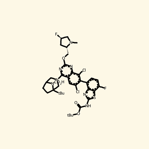 CN1C[C@H](F)C[C@H]1COc1nc(N2CC3CCC(C(C)(C)C)(C2)N3C(=O)O)c2cc(Cl)c(-c3ccc(F)c4sc(NC(=O)OC(C)(C)C)nc34)c(Cl)c2n1